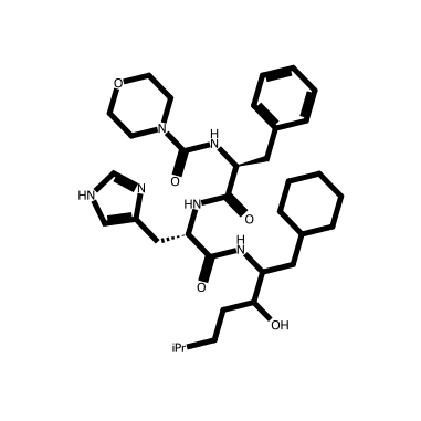 CC(C)CCC(O)C(CC1CCCCC1)NC(=O)[C@H](Cc1c[nH]cn1)NC(=O)[C@H](Cc1ccccc1)NC(=O)N1CCOCC1